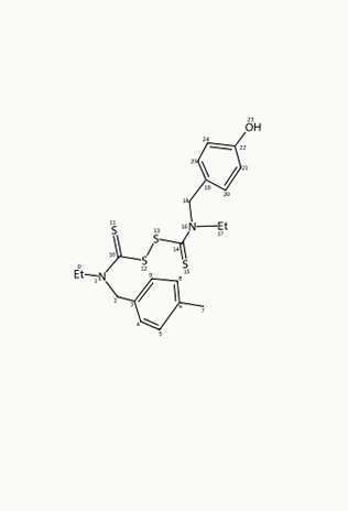 CCN(Cc1ccc(C)cc1)C(=S)SSC(=S)N(CC)Cc1ccc(O)cc1